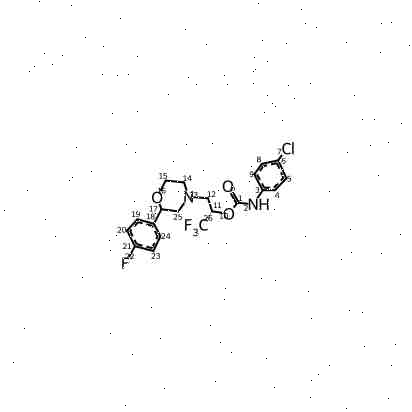 O=C(Nc1ccc(Cl)cc1)O[C@@H](CN1CCOC(c2ccc(F)cc2)C1)C(F)(F)F